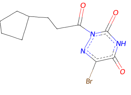 O=C(CCC1CCCC1)n1nc(Br)c(=O)[nH]c1=O